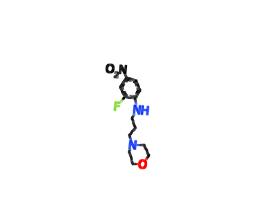 O=[N+]([O-])c1ccc(NCCCN2CCOCC2)c(F)c1